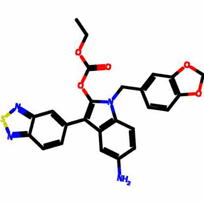 CCOC(=O)Oc1c(-c2ccc3nsnc3c2)c2cc(N)ccc2n1Cc1ccc2c(c1)OCO2